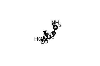 NCc1cccc(C2CCN(c3nc4c(cc3F)c(=O)c(C(=O)O)cn4C3CC3)C2)c1